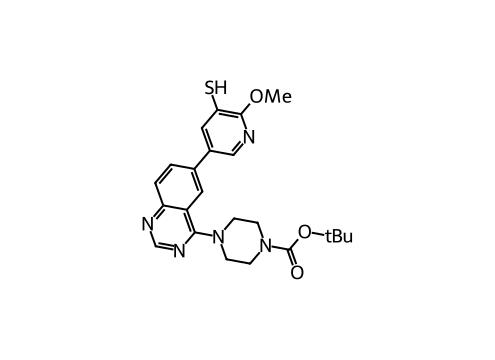 COc1ncc(-c2ccc3ncnc(N4CCN(C(=O)OC(C)(C)C)CC4)c3c2)cc1S